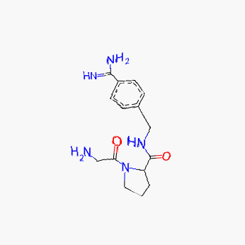 N=C(N)c1ccc(CNC(=O)C2CCCN2C(=O)CN)cc1